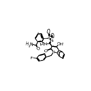 NC(=O)c1c[c]cc2c1NC(C1=C(O)C3C4C=CC(C4)C3N(Cc3ccc(F)cc3)C1=O)=NS2(=O)=O